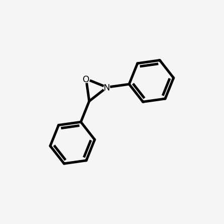 c1ccc(C2ON2c2ccccc2)cc1